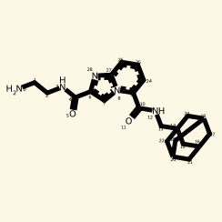 NCCNC(=O)c1cn2c(C(=O)NCC34CC5CC(CC(C5)C3)C4)cccc2n1